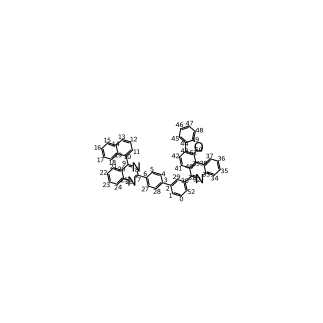 c1cc(-c2ccc(-c3nc(-c4cccc5ccccc45)c4ccccc4n3)cc2)cc(-c2nc3ccccc3c3c2ccc2c4ccccc4oc23)c1